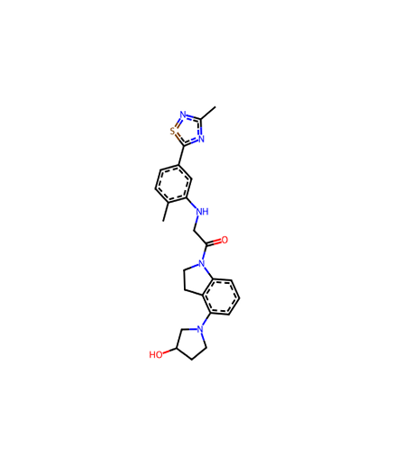 Cc1nsc(-c2ccc(C)c(NCC(=O)N3CCc4c(N5CCC(O)C5)cccc43)c2)n1